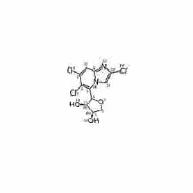 O[C@@H]1COC(c2c(Cl)c(Cl)cc3nc(Cl)cn23)[C@@H]1O